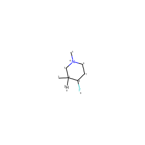 [2H]C1(C)CN(C)CCC1F